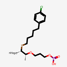 CCCCCCC[C@H](SCCCCCc1ccc(Cl)cc1)[C@@H](C)OCCCO[P](=O)O